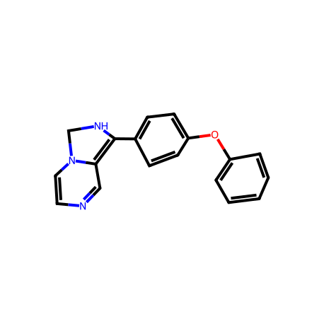 C1=CN2CNC(c3ccc(Oc4ccccc4)cc3)=C2C=N1